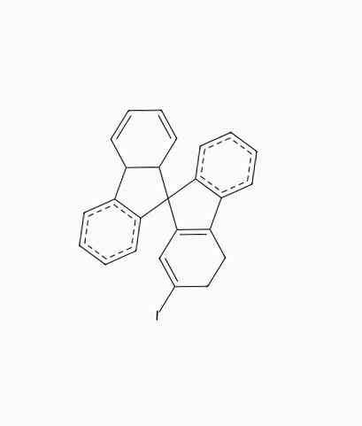 IC1=CC2=C(CC1)c1ccccc1C21c2ccccc2C2C=CC=CC21